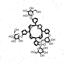 OC[C@H]1C[C@@H](Oc2cccc(-c3c4nc(c(-c5cccc(O[C@@H]6O[C@H](CO)[C@@H](O)[C@H](O)[C@H]6O)c5)c5ccc([nH]5)c(-c5cccc(O[C@H]6O[C@@H](CO)[C@H](O)[C@@H](O)[C@@H]6O)c5)c5nc(c(-c6cccc(O[C@@H]7O[C@H](CO)[C@@H](O)[C@H](O)[C@H]7O)c6)c6ccc3[nH]6)C=C5)CC4)c2)[C@H](O)[C@@H](O)[C@@H]1O